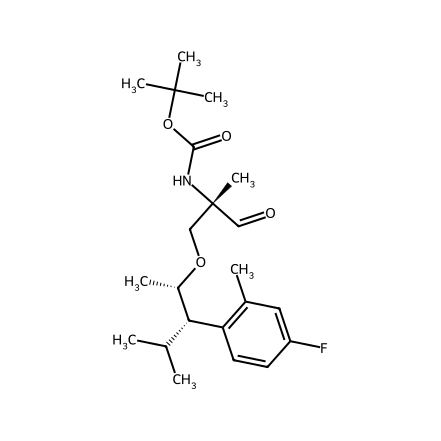 Cc1cc(F)ccc1[C@H](C(C)C)[C@H](C)OC[C@@](C)(C=O)NC(=O)OC(C)(C)C